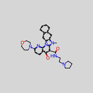 Cn1c2cc3ccccc3cc2n2c3nc(N4CCCOCC4)ccc3c(=O)c(C(=O)NCCN3CCCC3)c12